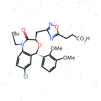 COc1cccc([C@H]2O[C@H](Cc3noc(CCC(=O)O)n3)C(=O)N(CC(C)(C)C)c3ccc(Cl)cc32)c1OC